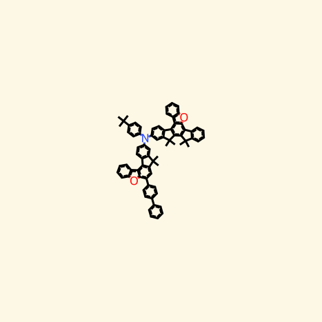 CC(C)(C)c1ccc(N(c2ccc3c(c2)C(C)(C)c2cc(-c4ccc(-c5ccccc5)cc4)c4oc5ccccc5c4c2-3)c2ccc3c(c2)C(C)(C)c2c4c(c5oc6ccccc6c5c2-3)-c2ccccc2C4(C)C)cc1